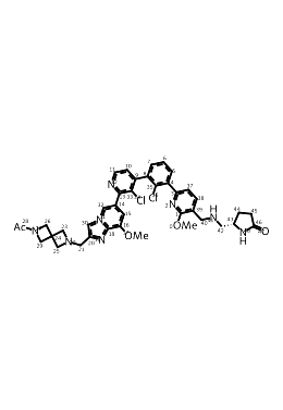 COc1nc(-c2cccc(-c3ccnc(-c4cc(OC)c5nc(CN6CC7(C6)CN(C(C)=O)C7)cn5c4)c3Cl)c2Cl)ccc1CNC[C@@H]1CCC(=O)N1